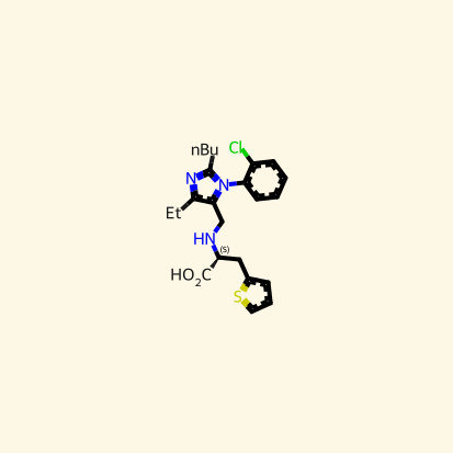 CCCCc1nc(CC)c(CN[C@@H](Cc2cccs2)C(=O)O)n1-c1ccccc1Cl